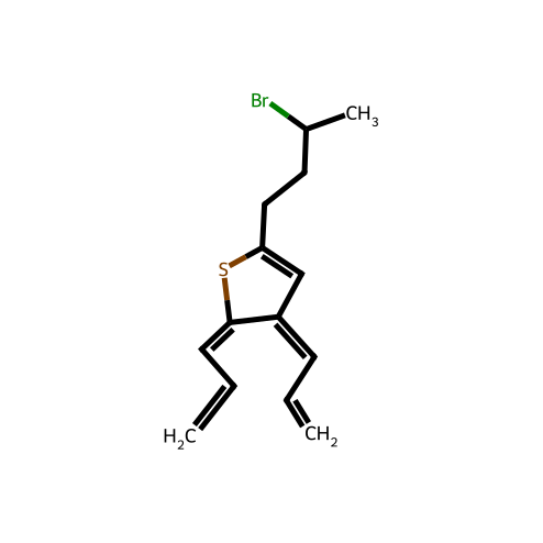 C=C/C=c1/cc(CCC(C)Br)s/c1=C/C=C